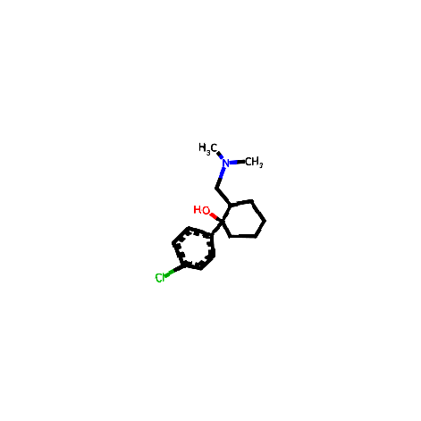 CN(C)CC1CCCCC1(O)c1ccc(Cl)cc1